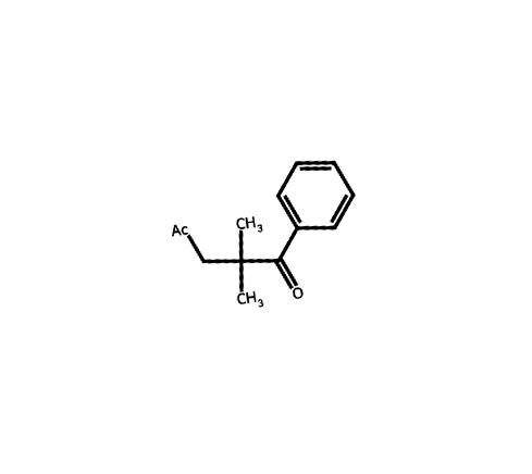 CC(=O)CC(C)(C)C(=O)c1ccccc1